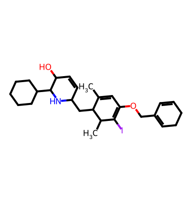 CC1=CC(OCC2=CCCC=C2)=C(I)C(C)C1CC1C=CC(O)C(C2CCCCC2)N1